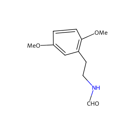 COc1ccc(OC)c(CCNC=O)c1